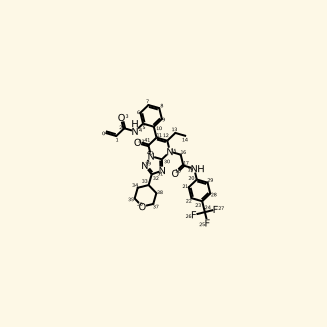 C=CC(=O)Nc1ccccc1-c1c(CC)n(CC(=O)Nc2ccc(C(F)(F)F)cc2)c2nc(C3CCOCC3)nn2c1=O